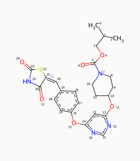 CC(C)COC(=O)N1CCC(Oc2cc(Oc3ccc(/C=C4/SC(=O)NC4=O)cc3)ncn2)CC1